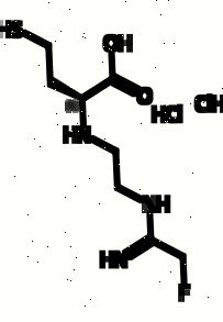 Cl.Cl.N=C(CF)NCCN[C@@H](CCS)C(=O)O